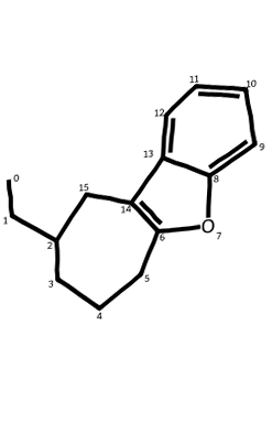 CCC1CCCc2oc3ccccc3c2C1